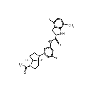 CC(=O)N1CC[C@H]2[C@@H]1CCN2c1cc(F)cc(NC(=O)C2Cc3c(F)ccc(C)c3N2)c1